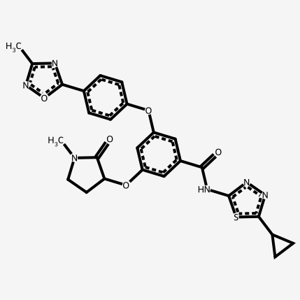 Cc1noc(-c2ccc(Oc3cc(OC4CCN(C)C4=O)cc(C(=O)Nc4nnc(C5CC5)s4)c3)cc2)n1